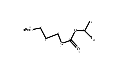 CCCCCCCCOC(=O)OC(C)I